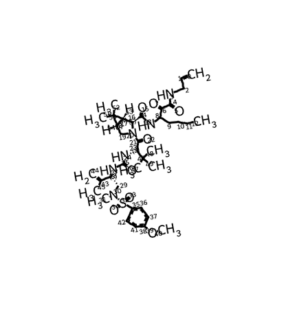 C=CCNC(=O)C(=O)C(CCCC)NC(=O)[C@@H]1[C@@H]2[C@H](CN1C(=O)[C@@H](NC(=O)N[C@H](CN(C)S(=O)(=O)c1ccc(OC)cc1)C(=C)C)C(C)(C)C)C2(C)C